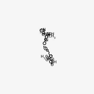 Cn1c(=O)n(C2CCC(=O)NC2=O)c2cccc(CCC3CC4(CCN(C[C@H]5CC[C@H](n6cc7cc(NC(=O)c8cnn9cccnc89)c(C(C)(C)O)cc7n6)CC5)CC4)C3)c21